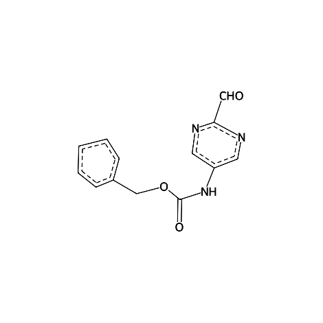 O=Cc1ncc(NC(=O)OCc2ccccc2)cn1